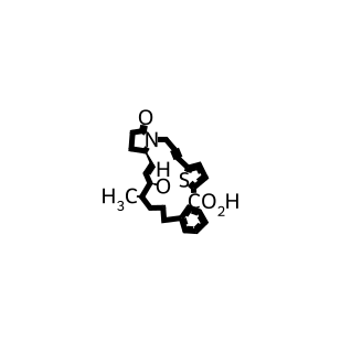 C[C@@H](CCCc1ccccc1)[C@@H](O)C=C[C@H]1CCC(=O)N1CC#Cc1ccc(C(=O)O)s1